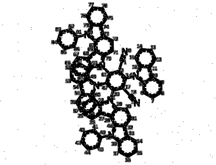 N#Cc1c(-n2c3ccccc3c3ccccc32)c(C#N)c(-n2c3ccccc3c3c2ccc2c4ccccc4n(-c4ccccc4)c23)c(-n2c3ccccc3c3ccccc32)c1-n1c2ccccc2c2c1ccc1c3ccccc3n(-c3ccccc3)c12